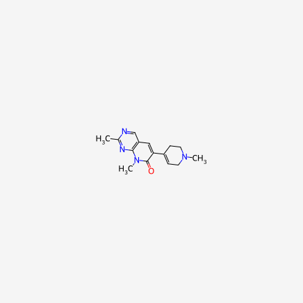 Cc1ncc2cc(C3=CCN(C)CC3)c(=O)n(C)c2n1